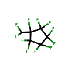 F[C](F)C1(F)C(F)(F)C(F)(F)C(F)(F)C1(F)F